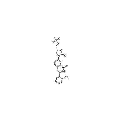 CS(=O)(=O)OC[C@H]1CN(c2ccc3cc(-c4ccccc4C(F)(F)F)[nH]c(=O)c3c2)C(=O)O1